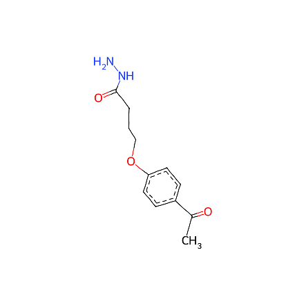 CC(=O)c1ccc(OCCCC(=O)NN)cc1